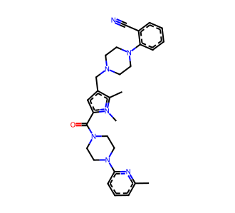 Cc1cccc(N2CCN(C(=O)c3cc(CN4CCN(c5ccccc5C#N)CC4)c(C)n3C)CC2)n1